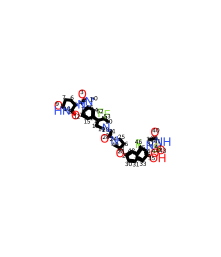 Cn1c(=O)n(C2CCC(=O)NC2=O)c2ccc(C3CCN(CC(=O)N4CC[C@H](Oc5ccc6cc(O)c(N7CC(=O)NS7(=O)=O)c(F)c6c5)C4)CC3(F)F)cc21